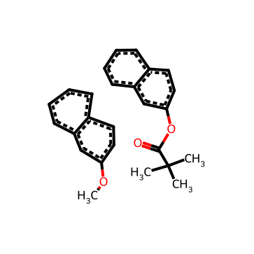 CC(C)(C)C(=O)Oc1ccc2ccccc2c1.COc1ccc2ccccc2c1